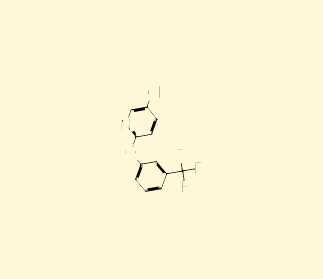 FC(F)(F)c1[c]ccc(Oc2ccc(Cl)cn2)c1